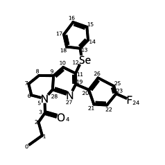 CCCC(=O)N1CCCc2cc([Se]c3ccccc3)c(-c3ccc(F)cc3)nc21